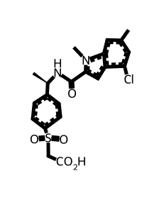 Cc1cc(Cl)c2cc(C(=O)N[C@H](C)c3ccc(S(=O)(=O)CC(=O)O)cc3)n(C)c2c1